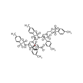 Cc1ccc(S(=O)(=O)S(=O)(=O)NC(Cc2ccc([N+](=O)[O-])cc2)CN(CCN(CCN(CCOS(=O)(=O)S(=O)(=O)c2ccc(C)cc2)S(=O)(=O)S(=O)(=O)c2ccc(C)cc2)S(=O)(=O)S(=O)(=O)c2ccc(C)cc2)S(=O)(=O)S(=O)(=O)c2ccc(C)cc2)cc1